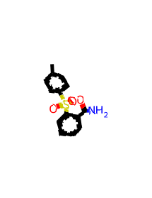 Cc1ccc(S(=O)(=O)c2ccccc2C(N)=O)cc1